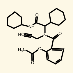 C#CCN(C(=O)c1ccccc1OC(C)=O)C(C(=O)NC1CCCCC1)C1CCCCC1